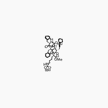 COC(=O)[C@@H](CCCCNC(=O)OC(C)(C)C)NC(=O)[C@@H](CC#Cc1ccccc1)NC(=O)[C@@H](Cc1ccccc1)NC(=O)[C@@H](Cc1ccccc1)NC(=O)OC(C)(C)C